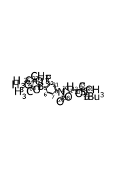 CC1(C)OB(c2ccc(N3CC(CO[Si](C)(C)C(C)(C)C)OC3=O)cc2F)OC1(C)C